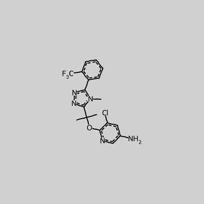 Cn1c(-c2ccccc2C(F)(F)F)nnc1C(C)(C)Oc1ncc(N)cc1Cl